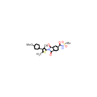 CCCCS(=O)(=O)NC(=O)c1ccc2c(c1)C(=O)N(c1sc(C)c(-c3ccc(OC)cc3)c1C#N)C2=O